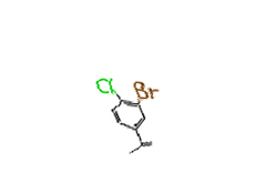 C=C(C)c1ccc(Cl)c(Br)c1